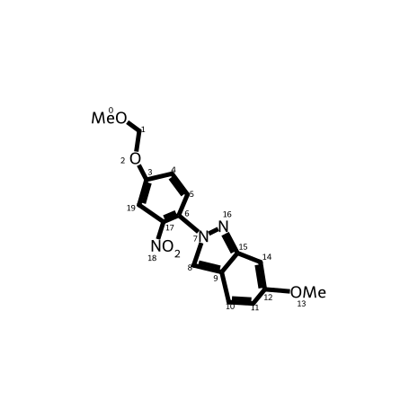 COCOc1ccc(-n2cc3ccc(OC)cc3n2)c([N+](=O)[O-])c1